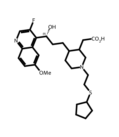 COc1ccc2ncc(F)c([C@H](O)CCC3CCN(CCSC4CCCC4)CC3CC(=O)O)c2c1